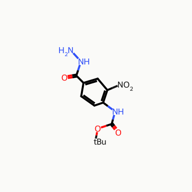 CC(C)(C)OC(=O)Nc1ccc(C(=O)NN)cc1[N+](=O)[O-]